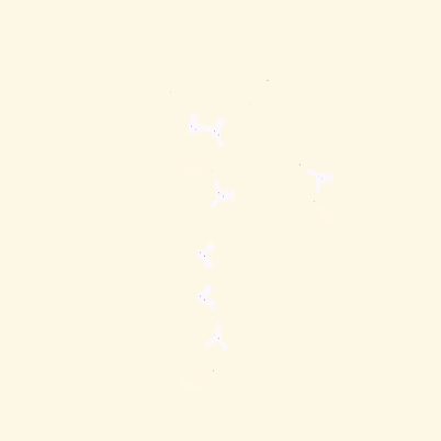 CC1(O)CN(c2nc3nc([C@H](Cc4cc(F)cc(F)c4)NC(=O)Cn4nc(C(F)(F)F)c5c4C(F)(F)[C@@H]4CC[C@H]54)c(-c4ccc5c(c4)C(=O)NC54CC4)cc3s2)C1